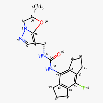 C[C@H]1Cn2ncc(CNC(=O)Nc3c4c(c(F)c5c3CCC5)CCC4)c2O1